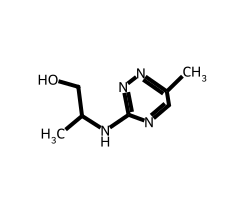 Cc1cnc(NC(C)CO)nn1